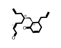 C=CCC1CC=CC(=O)[C@H]1C[C@H](CC=C)C/C=C\C=O